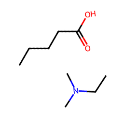 CCCCC(=O)O.CCN(C)C